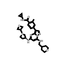 Cc1cc(-c2cnn3c(NCC4CCOCC4)cc(N[C@H]4CCN(C5COC5)C4)nc23)ccc1C(=O)NC1CC1